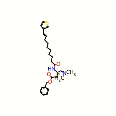 CN(C)C[C@@H](CC(=O)OCc1ccccc1)NC(=O)CCCCCCCC=Cc1ccsc1